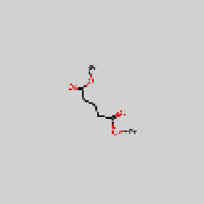 CC(C)OC(=O)CCCC(=O)OC(C)C